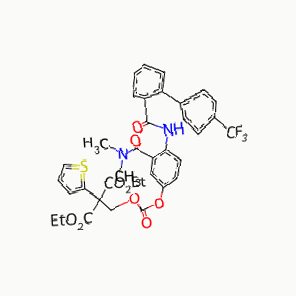 CCOC(=O)C(COC(=O)Oc1ccc(NC(=O)c2ccccc2-c2ccc(C(F)(F)F)cc2)c(C(=O)N(C)C)c1)(C(=O)OCC)c1cccs1